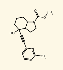 COC(=O)N1CCC2C1CCCC2(O)C#Cc1cccc(C)n1